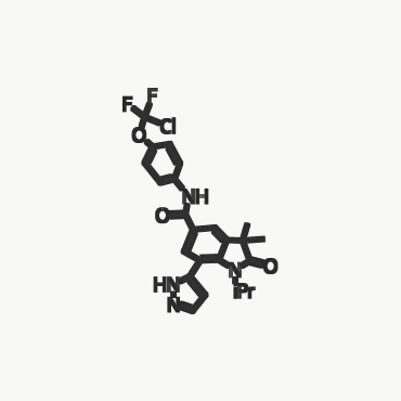 CC(C)N1C(=O)C(C)(C)c2cc(C(=O)Nc3ccc(OC(F)(F)Cl)cc3)cc(-c3ccn[nH]3)c21